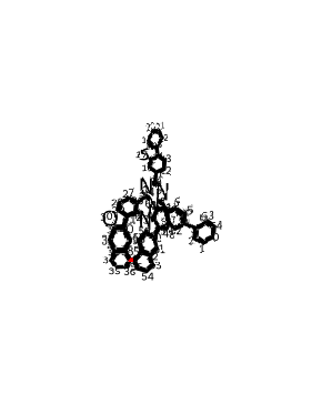 c1ccc(-c2ccc(-c3nc(-c4ccc5c(c4)sc4ccccc45)nc(-c4ccc5oc6cc7ccccc7cc6c5c4-n4c5ccccc5c5cc6ccccc6cc54)n3)cc2)cc1